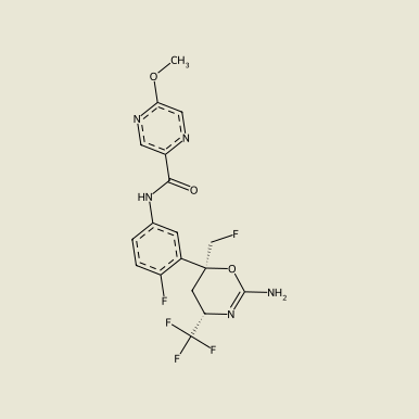 COc1cnc(C(=O)Nc2ccc(F)c([C@]3(CF)C[C@@H](C(F)(F)F)N=C(N)O3)c2)cn1